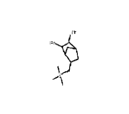 CC(C)C1C2CC(CS(C)(C)C)C(C2)C1C(C)C